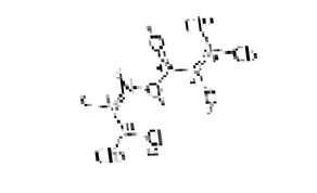 CC(=NOC(=O)C(Cl)=C(Cl)Cl)C(Cl)Cl